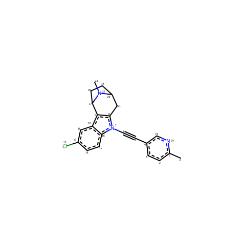 Cc1ccc(C#Cn2c3c(c4cc(Cl)ccc42)C2CCC(C3)N2C)cn1